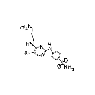 NCCCNc1nc(Nc2ccc(S(N)(=O)=O)cc2)ncc1Br